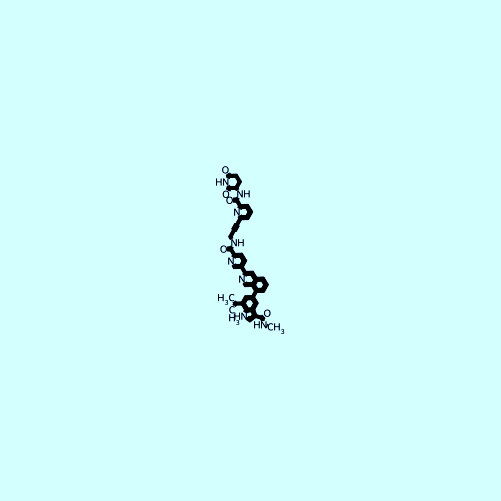 CNC(=O)c1c[nH]c2c(C(C)C)cc(-c3cccc4cc(-c5ccc(C(=O)NCC#Cc6cccc(C(=O)NC7CCC(=O)NC7=O)n6)nc5)ncc34)cc12